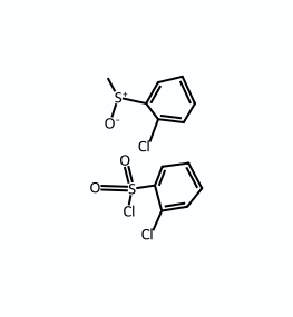 C[S+]([O-])c1ccccc1Cl.O=S(=O)(Cl)c1ccccc1Cl